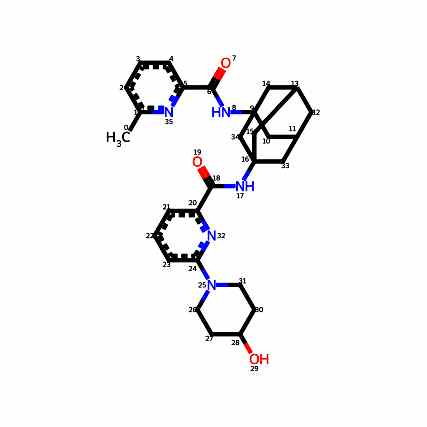 Cc1cccc(C(=O)NC23CC4CC(C2)CC(NC(=O)c2cccc(N5CCC(O)CC5)n2)(C4)C3)n1